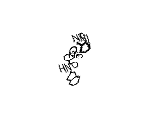 NCc1c(Cl)cccc1S(=O)(=O)N1CCCC(C(=O)NC2CCC3CCCCC3C2)C1